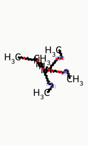 CCCCC/C=C\C/C=C\CCCCCCCCN(CCCCCCCC/C=C\C/C=C\CCCCC)CCN(CCCCCCCC/C=C\C/C=C\CCCCC)CCN1CCN(CCN(C)CCCCCCCCCCCC)CC1